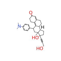 CN(C)c1ccc(C2CC3(C)C(CCC3(O)C#CCO)[C@@H]3CCC4=CC(=O)CCC4=C23)cc1